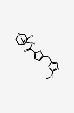 COc1nnc(Sc2ccc(C(=O)N[C@H]3CN4CCC3CC4)s2)s1